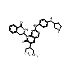 CCC(CC)c1cc2cnc(Nc3ccc(NC4CCNC4)cc3)nc2n(C2Cc3ccccc3C(=O)N2)c1=O